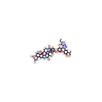 CCNC(=O)c1nnc(-c2cc(C(C)C)c(O)cc2O)n1-c1ccc(Oc2ccc(C(=O)N3CCC(C(=O)O)CC3C3(CC)C(=O)OCc4c3cc3n(c4=O)Cc4cc5c(CN(C)C)c(O)ccc5nc4-3)cc2)cc1